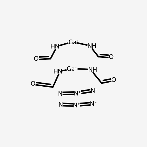 O=C[NH][Ga+][NH]C=O.O=C[NH][Ga+][NH]C=O.[N-]=[N+]=[N-].[N-]=[N+]=[N-]